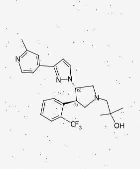 Cc1cc(-c2ccn([C@@H]3CN(CC(C)(C)O)C[C@H]3c3ccccc3C(F)(F)F)n2)ccn1